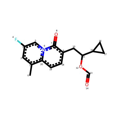 Cc1cc(F)cn2c(=O)c(CC(OC=O)C3CC3)ccc12